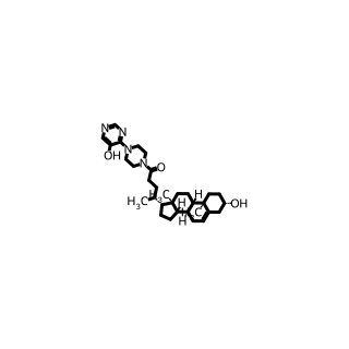 CC(CCC(=O)N1CCN(c2ncncc2O)CC1)[C@H]1CC[C@H]2[C@@H]3CC=C4C[C@@H](O)CC[C@]4(C)[C@H]3CC[C@]12C